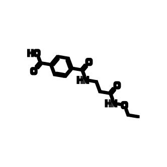 CCONC(=O)CCNC(=O)c1ccc(C(=O)O)cc1